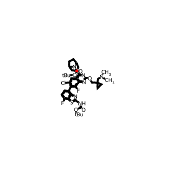 CN(C)CC1(COc2nc(N3CC4CCC(C3)N4C(=O)OC(C)(C)C)c3cc(Cl)c(-c4ccc(F)c5sc(NC(=O)OC(C)(C)C)nc45)c(F)c3n2)CC1